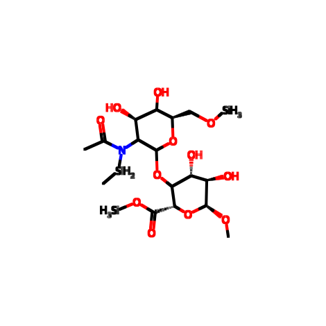 CO[C@H]1O[C@H](C(=O)O[SiH3])C(OC2O[C@H](CO[SiH3])C(O)[C@H](O)C2N([SiH2]C)C(C)=O)[C@H](O)[C@H]1O